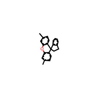 Cc1ccc2c(c1)Oc1cc(C)ccc1C21CCc2ccccc21